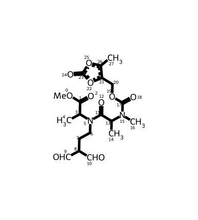 COC(=O)C(C)N(CCC(C=O)C=O)C(=O)C(C)N(C)C(=O)OCc1oc(=O)oc1C